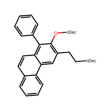 CCCCCCCCCCCCc1cc2c(ccc3ccccc32)c(-c2ccccc2)c1OCCCCCCCCCC